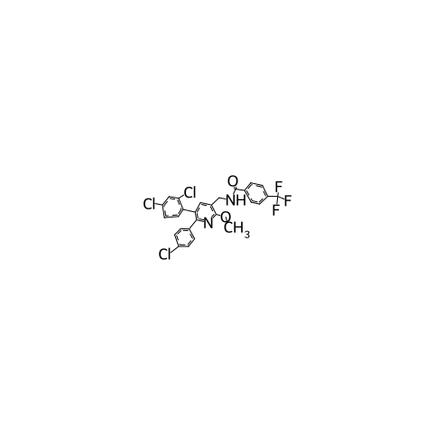 COc1nc(-c2ccc(Cl)cc2)c(-c2ccc(Cl)cc2Cl)cc1CNC(=O)c1ccc(C(F)(F)F)cc1